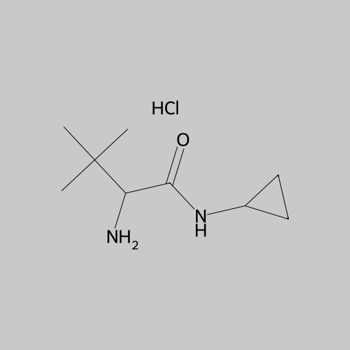 CC(C)(C)C(N)C(=O)NC1CC1.Cl